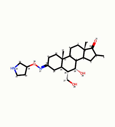 CC1CC2C3C(CC[C@]2(C)C1=O)[C@@]1(C)CCC(=NOC2CCNC2)CC1[C@@H](CO)[C@H]3O